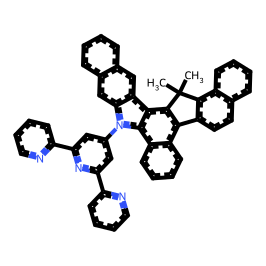 CC1(C)c2c(ccc3ccccc23)-c2c1c1c3cc4ccccc4cc3n(-c3cc(-c4ccccn4)nc(-c4ccccn4)c3)c1c1ccccc21